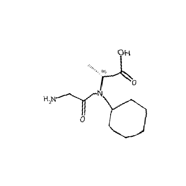 C[C@H](C(=O)O)N(C(=O)CN)C1CCCCC1